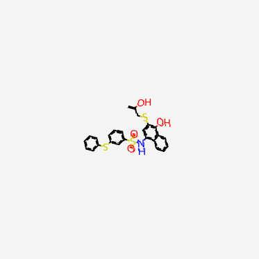 C=C(O)CSc1cc(NS(=O)(=O)c2cccc(Sc3ccccc3)c2)c2ccccc2c1O